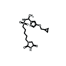 CC(NS(=O)(=O)CCCCCN1CC(=O)NC1=O)n1cc(OCC2CC2)cn1